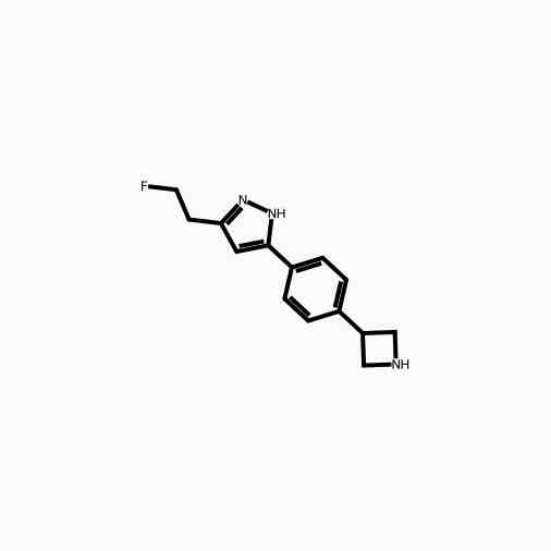 FCCc1cc(-c2ccc(C3CNC3)cc2)[nH]n1